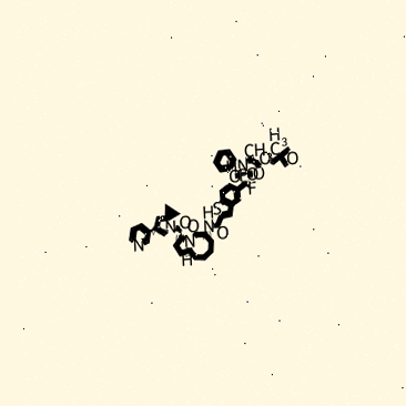 C[C@H](NP(=O)(Oc1ccccc1)[C@@H](F)c1ccc2sc(C(=O)N[C@H]3CCCC[C@H]4CC[C@@H](C(=O)N5C[C@@H](c6cccnc6)CC56CC6)N4C3=O)cc2c1)C(=O)OCC1(C)COC1